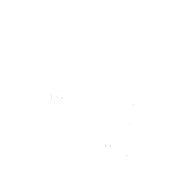 CC1(C)Cc2cc(C3CCCC3)cc(CO)c2O1